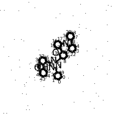 c1ccc(C2=NC(c3cccc4c3oc3cccc(-n5c6ccccc6c6ccccc65)c34)=NC(c3cccc4oc5ccccc5c34)N2)cc1